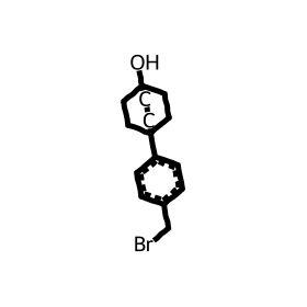 OC12CCC(c3ccc(CBr)cc3)(CC1)CC2